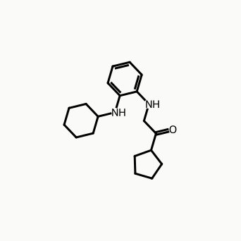 O=C(CNc1ccccc1NC1CCCCC1)C1CCCC1